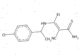 CCC(NC(C)c1ccc(Cl)cc1)=C(C#N)C(N)=S